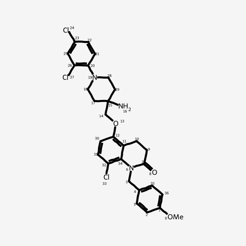 COc1ccc(CN2C(=O)CCc3c(OCC4(N)CCN(c5ccc(Cl)cc5Cl)CC4)ccc(Cl)c32)cc1